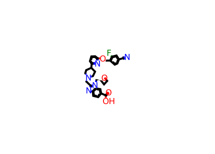 N#Cc1ccc(COc2cccc(C3CCN(Cc4nc5ccc(C(=O)O)cc5n4C[C@H]4CCO4)CC3)n2)c(F)c1